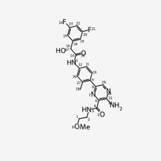 COCCNC(=O)c1nc(-c2ccc(NC(=O)[C@H](O)c3cc(F)cc(F)c3)cc2C)cnc1N